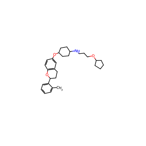 Cc1ccccc1C1CCc2cc(OC3CCC(NCCCOC4CCCC4)CC3)ccc2O1